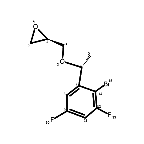 C[C@@H](OC[C@H]1CO1)c1cc(F)cc(F)c1Br